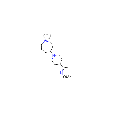 CO/N=C(\C)C1CCN(C2CCCN(C(=O)O)CC2)CC1